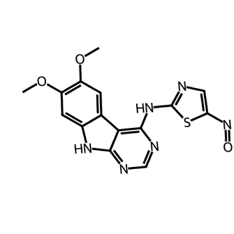 COc1cc2[nH]c3ncnc(Nc4ncc(N=O)s4)c3c2cc1OC